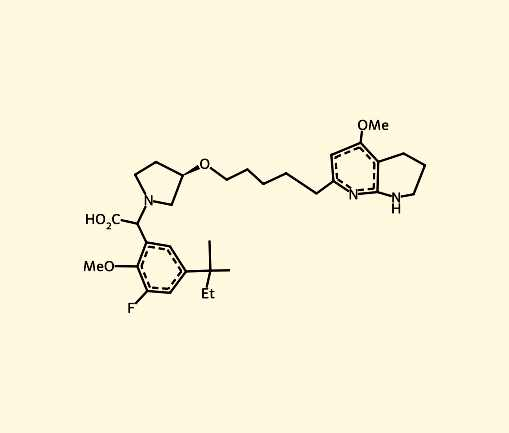 CCC(C)(C)c1cc(F)c(OC)c(C(C(=O)O)N2CC[C@@H](OCCCCCc3cc(OC)c4c(n3)NCCC4)C2)c1